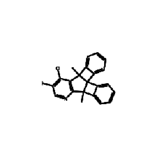 CC12c3ccccc3C13c1ccccc1C3(C)c1c2ncc(I)c1Cl